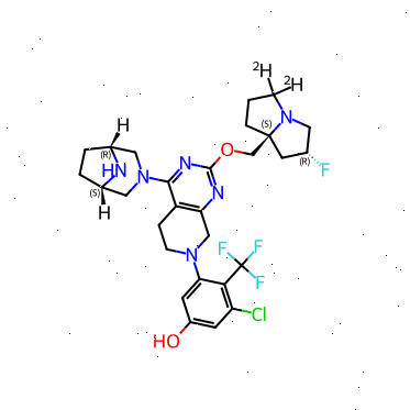 [2H]C1([2H])CC[C@@]2(COc3nc4c(c(N5C[C@H]6CC[C@@H](C5)N6)n3)CCN(c3cc(O)cc(Cl)c3C(F)(F)F)C4)C[C@@H](F)CN12